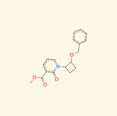 COC(=O)c1cccn(C2CCC2OCc2ccccc2)c1=O